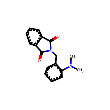 CN(C)c1ccccc1CN1C(=O)c2ccccc2C1=O